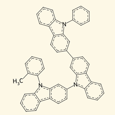 Cc1ccccc1-n1c2ccccc2c2ccc(-n3c4ccccc4c4ccc(-c5ccc6c7ccccc7n(-c7ccccc7)c6c5)cc43)cc21